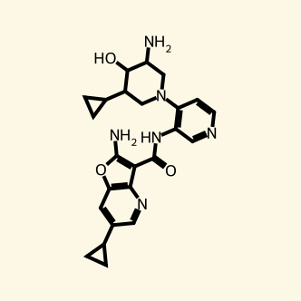 Nc1oc2cc(C3CC3)cnc2c1C(=O)Nc1cnccc1N1CC(N)C(O)C(C2CC2)C1